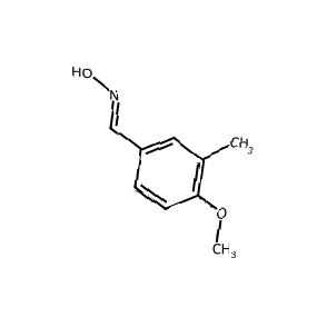 COc1ccc(C=NO)cc1C